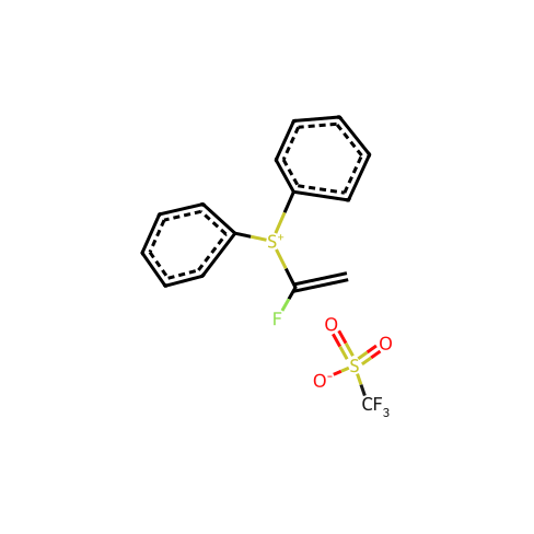 C=C(F)[S+](c1ccccc1)c1ccccc1.O=S(=O)([O-])C(F)(F)F